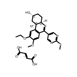 CCOc1cc2c(cc1OC)C(c1cnc(SC)nc1)=N[C@@H]1CC[C@@H](O)C[C@H]21.O=C(O)/C=C/C(=O)O